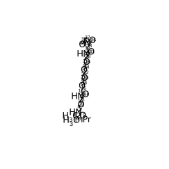 CCCC(C)(C)C(=O)NCCOCCNC(=O)CCOCCOCCOCCOCCNC(=O)CCN1C(=O)C=CC1=O